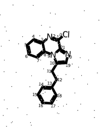 Clc1nc2ccccc2n2c(CCc3ccccc3)cnc12